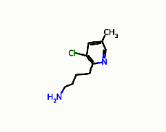 Cc1cnc(CCCCN)c(Cl)c1